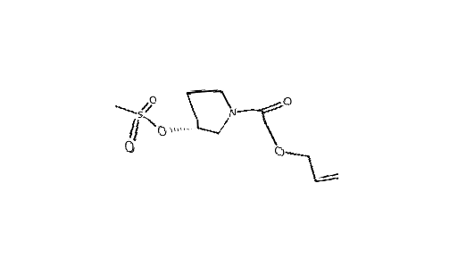 C=CCOC(=O)N1CC[C@@H](OS(C)(=O)=O)C1